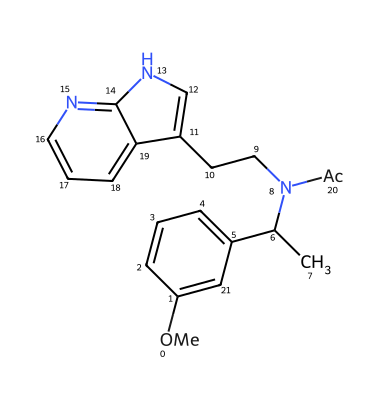 COc1cccc(C(C)N(CCc2c[nH]c3ncccc23)C(C)=O)c1